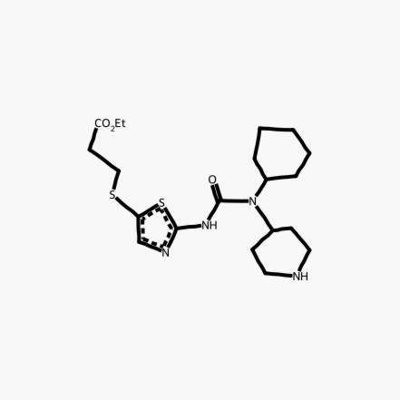 CCOC(=O)CCSc1cnc(NC(=O)N(C2CCCCC2)C2CCNCC2)s1